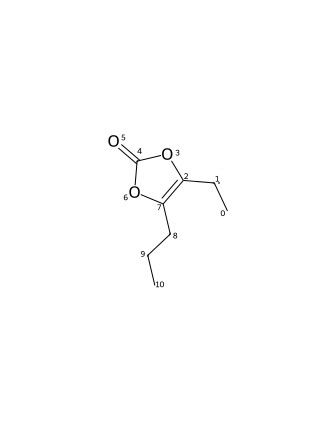 C[CH]c1oc(=O)oc1CCC